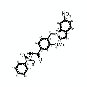 COc1cc(C(=O)NS(=O)(=O)c2ccccc2)ccc1Cn1ccc2ccc([N+](=O)[O-])cc21